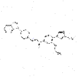 CCOc1cc(C(=O)/C=C/N2CCC(n3ccc4ccccc43)CC2)ccc1-n1cnc(C)c1